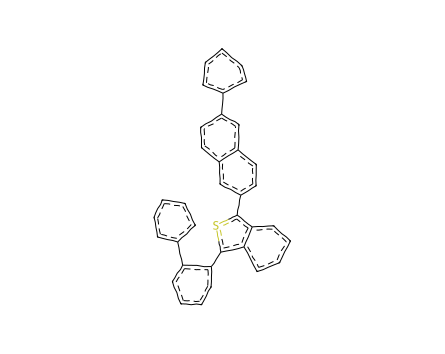 c1ccc(-c2ccc3cc(-c4sc(-c5ccccc5-c5ccccc5)c5ccccc45)ccc3c2)cc1